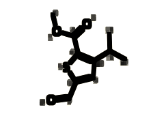 COC(=O)c1sc(C=O)cc1C(C)C